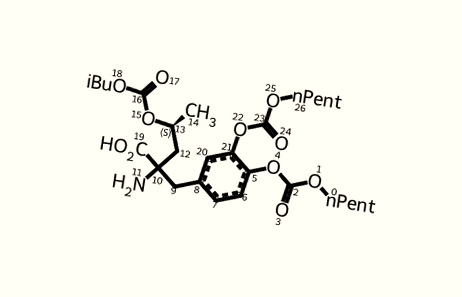 CCCCCOC(=O)Oc1ccc(CC(N)(C[C@H](C)OC(=O)OCC(C)C)C(=O)O)cc1OC(=O)OCCCCC